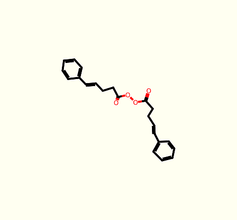 O=C(CCC=Cc1ccccc1)OOC(=O)CCC=Cc1ccccc1